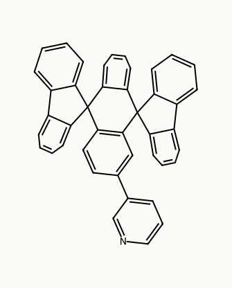 c1cncc(-c2ccc3c(c2)C2(c4ccccc4-c4ccccc42)c2ccccc2C32c3ccccc3-c3ccccc32)c1